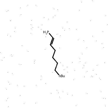 CCCCCCCCC=CP